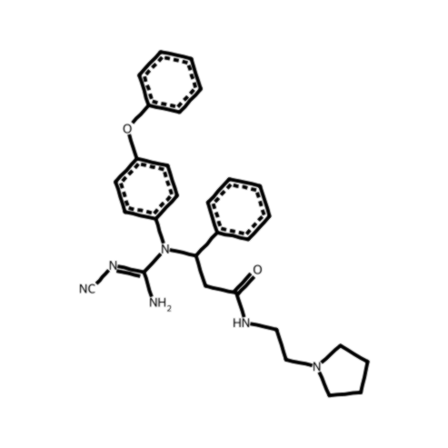 N#CN=C(N)N(c1ccc(Oc2ccccc2)cc1)C(CC(=O)NCCN1CCCC1)c1ccccc1